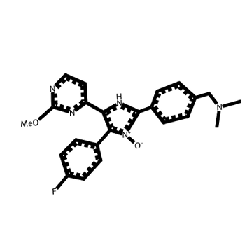 COc1nccc(-c2[nH]c(-c3ccc(CN(C)C)cc3)[n+]([O-])c2-c2ccc(F)cc2)n1